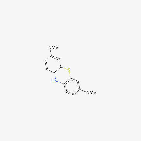 CNC1=CC2Sc3cc(NC)ccc3NC2C=C1